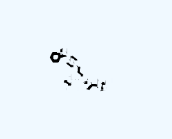 Cc1nc(-c2csc(OCCCN3CCN(c4nsc5ccccc45)CC3)n2)no1.O=C(O)C(=O)O